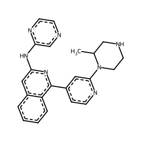 CC1CNCCN1c1cc(-c2nc(Nc3cnccn3)cc3ccccc23)ccn1